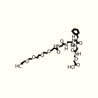 C#CCOCCOCCOCCOCCC(=O)NCC(=O)NCC(=O)N[C@@H](Cc1ccccc1)C(=O)NCC(=O)NCOCC(=O)O